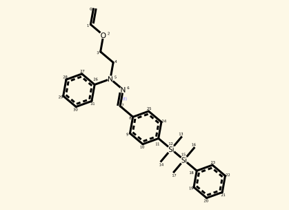 C=COCCN(/N=C/c1ccc([Si](C)(C)[Si](C)(C)c2ccccc2)cc1)c1ccccc1